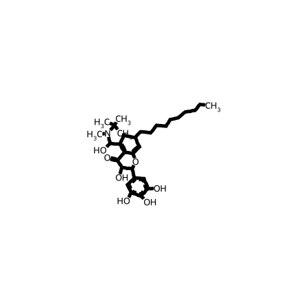 CCCCCCCCCCC1C=C2OC(c3cc(O)c(O)c(O)c3)C(O)C(=O)C2=C(C(O)N(C)C(C)(C)C)C1